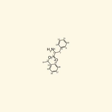 CC(OC(=O)C(N)Cc1ccccc1)c1ccccc1